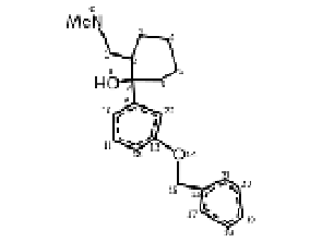 CNCC1CCCCC1(O)c1cccc(OCc2ccccc2)c1